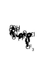 O=C(Nc1ccc(Cl)cc1N1CCN(CCC(F)(F)F)CC1)c1ccc(CNC(=O)N2CCC(OP(=O)(O)O)C2)c(F)c1F